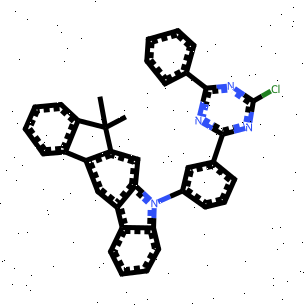 CC1(C)c2ccccc2-c2cc3c4ccccc4n(-c4cccc(-c5nc(Cl)nc(-c6ccccc6)n5)c4)c3cc21